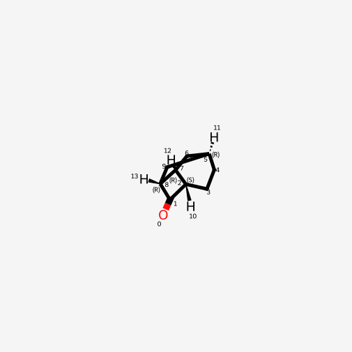 O=C1[C@H]2CC[C@@H]3C[C@H]2[C@H]1C3